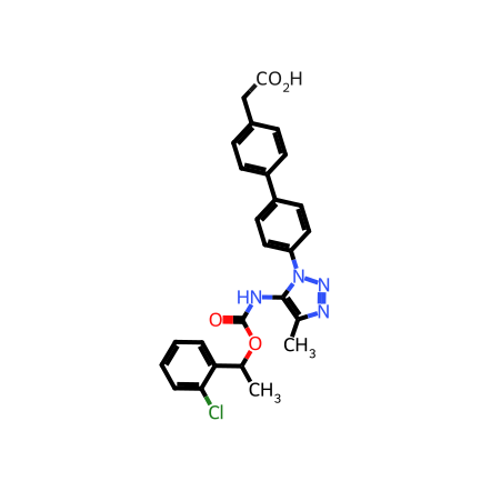 Cc1nnn(-c2ccc(-c3ccc(CC(=O)O)cc3)cc2)c1NC(=O)OC(C)c1ccccc1Cl